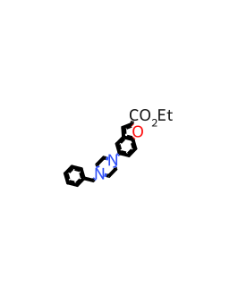 CCOC(=O)c1cc2cc(N3CCN(Cc4ccccc4)CC3)ccc2o1